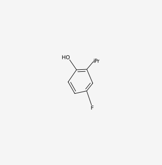 CC(C)c1cc(F)ccc1O